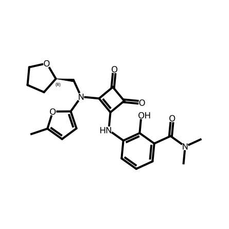 Cc1ccc(N(C[C@H]2CCCO2)c2c(Nc3cccc(C(=O)N(C)C)c3O)c(=O)c2=O)o1